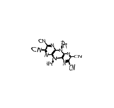 [C-]#[N+]c1nc2c(nc1[N+]#[C-])N(C(C)C)c1nc(C#N)c(C#N)nc1N2C(C)C